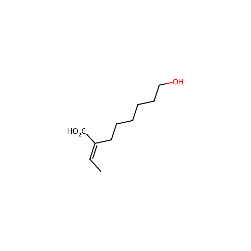 C/C=C(\CCCCCCO)C(=O)O